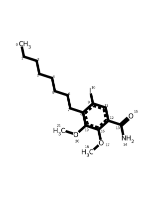 CCCCCCCCc1c(I)cc(C(N)=O)c(OC)c1OC